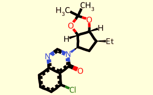 CC[C@H]1C[C@@H](n2cnc3cccc(Cl)c3c2=O)[C@@H]2OC(C)(C)O[C@H]12